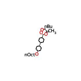 CCCCCCCCOc1ccc(-c2ccc(C(=O)O[C@@H](C)C(=O)CCCC)cc2)cc1